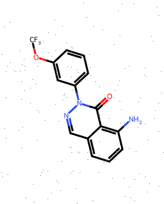 Nc1cccc2cnn(-c3cccc(OC(F)(F)F)c3)c(=O)c12